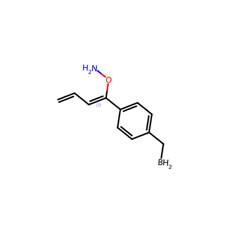 BCc1ccc(/C(=C/C=C)ON)cc1